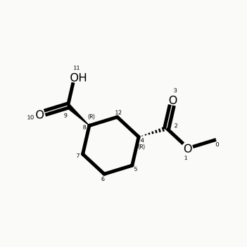 COC(=O)[C@@H]1CCC[C@@H](C(=O)O)C1